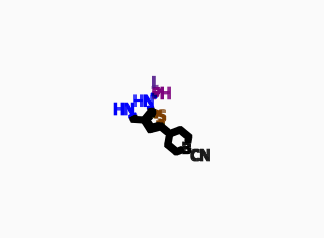 N#CB1CCC(c2cc(C=N)c(NPI)s2)CC1